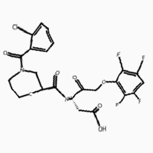 O=C(O)C[C@H](NC(=O)C1CCCCN(C(=O)c2ccccc2Cl)C1)C(=O)COc1c(F)c(F)cc(F)c1F